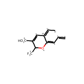 C=C/C=C1/OC(C(F)(F)F)C(C(=O)O)=C/C1=C/C